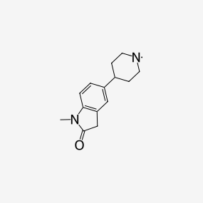 CN1C(=O)Cc2cc(C3CC[N]CC3)ccc21